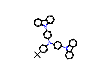 CC(C)(C)c1ccc(N(c2ccc(-n3c4ccccc4c4ccccc43)cc2)c2ccc(-n3c4ccccc4c4ccccc43)cc2)cc1